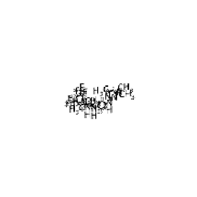 Cc1cc(N(C)C)nc(NC2CCC(NC(=O)NC(C)(C)c3cc(C(F)(F)F)cc(C(F)(F)F)c3)CC2)n1